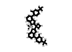 Cc1cc(C(C)(C)C)ccc1-c1cccc2c1C=C1[CH]2[Hf]([CH3])([CH3])[CH]2C(=Cc3c(-c4ccc(C(C)(C)C)cc4C)cccc32)C12CCC2